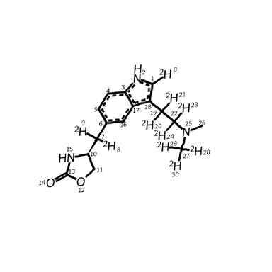 [2H]c1[nH]c2ccc(C([2H])([2H])[C@H]3COC(=O)N3)cc2c1C([2H])([2H])C([2H])([2H])N(C)C([2H])([2H])[2H]